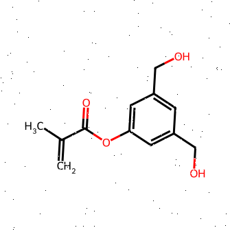 C=C(C)C(=O)Oc1cc(CO)cc(CO)c1